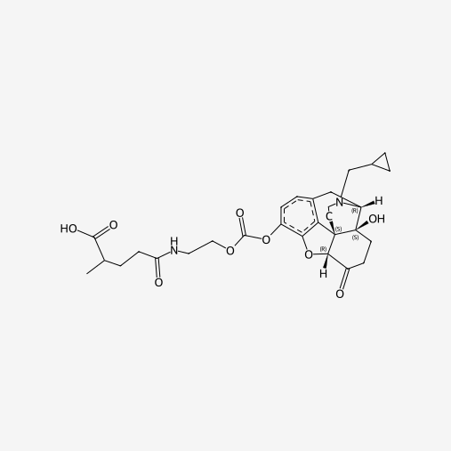 CC(CCC(=O)NCCOC(=O)Oc1ccc2c3c1O[C@H]1C(=O)CC[C@@]4(O)[C@@H](C2)N(CC2CC2)CC[C@]314)C(=O)O